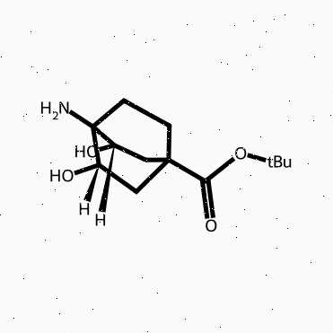 CC(C)(C)OC(=O)C12CCC(N)([C@@H](O)C1)[C@@H](O)C2